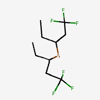 CCC(CC(F)(F)F)SC(CC)CC(F)(F)F